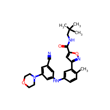 Cc1ccc(Nc2cc(C#N)cc(N3CCOCC3)c2)cc1-c1cc(C(=O)NCC(C)(C)C)on1